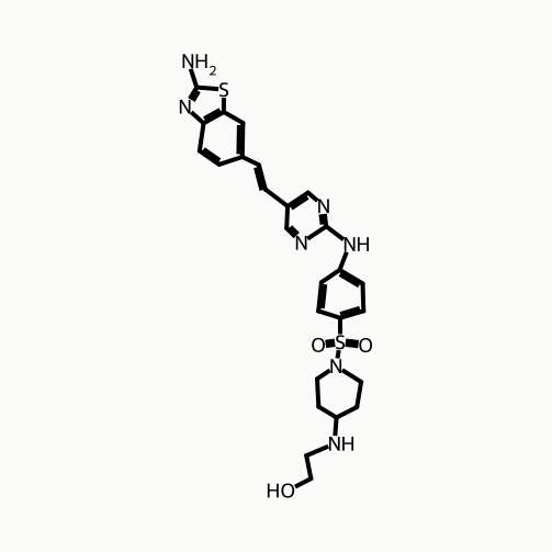 Nc1nc2ccc(/C=C/c3cnc(Nc4ccc(S(=O)(=O)N5CCC(NCCO)CC5)cc4)nc3)cc2s1